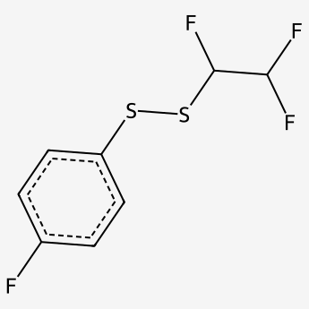 Fc1ccc(SSC(F)C(F)F)cc1